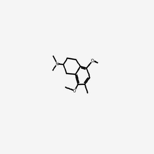 COc1cc(C)c(OC)c2c1CCC(N(C)C)C2